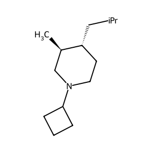 CC(C)C[C@@H]1CCN(C2CCC2)C[C@H]1C